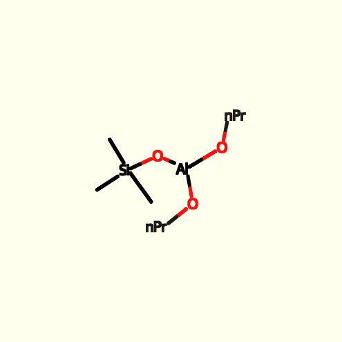 CCC[O][Al]([O]CCC)[O][Si](C)(C)C